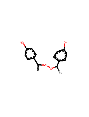 CCC(OOC(C)c1ccc(O)cc1)c1ccc(O)cc1